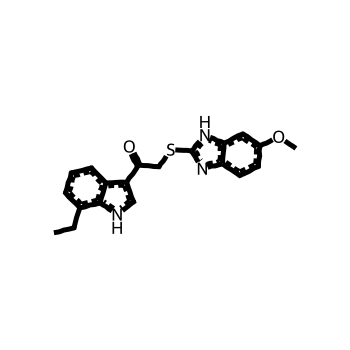 CCc1cccc2c(C(=O)CSc3nc4ccc(OC)cc4[nH]3)c[nH]c12